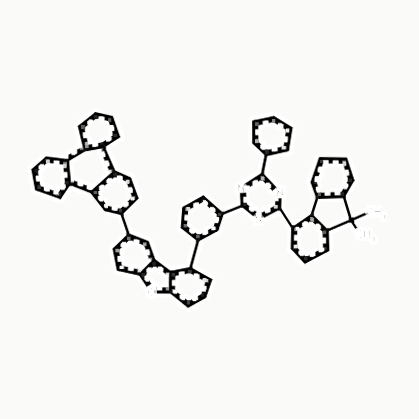 CC1(C)c2ccccc2-c2c(-c3nc(-c4ccccc4)nc(-c4cccc(-c5cccc6oc7ccc(-c8ccc9c%10ccccc%10c%10ccccc%10c9c8)cc7c56)c4)n3)cccc21